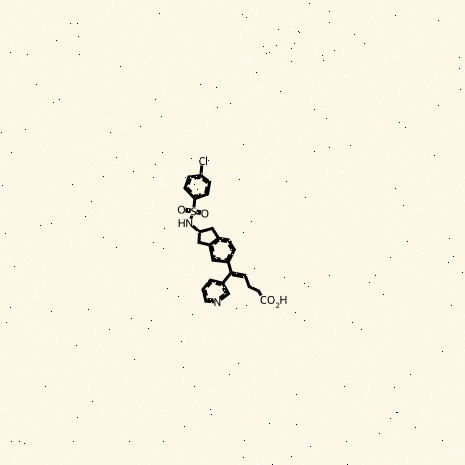 O=C(O)CC/C=C(\c1cccnc1)c1ccc2c(c1)CC(NS(=O)(=O)c1ccc(Cl)cc1)C2